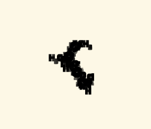 COc1cc(CN2CCN(C)CC2)ccc1NC(=O)Nc1ccc(Oc2ccnc3[nH]cc(Cl)c23)cc1F